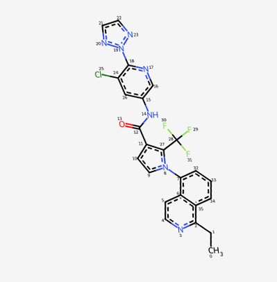 CCc1nccc2c(-n3ccc(C(=O)Nc4cnc(-n5nccn5)c(Cl)c4)c3C(F)(F)F)cccc12